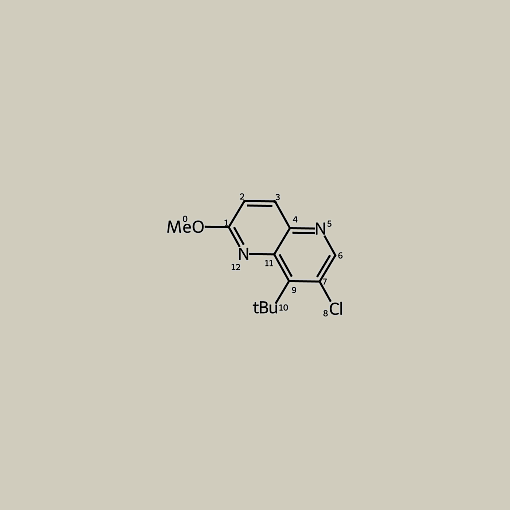 COc1ccc2ncc(Cl)c(C(C)(C)C)c2n1